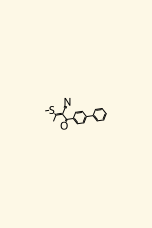 CS/C(C)=C(\C#N)C(=O)c1ccc(-c2ccccc2)cc1